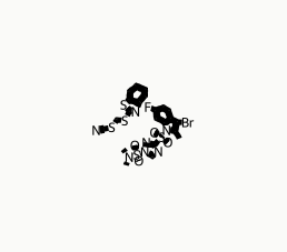 Cc1c(Br)c2ccc(F)cc2n1S(=O)(=O)c1ncn(S(=O)(=O)N(C)C)n1.N#CSCSc1nc2ccccc2s1